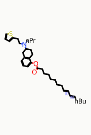 CCCC/C=C/C=C/CCCCCCCC(=O)Oc1cccc2c1CCC(N(CCC)CCc1cccs1)C2